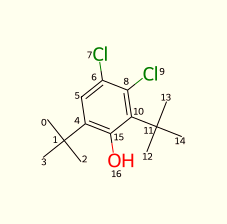 CC(C)(C)c1cc(Cl)c(Cl)c(C(C)(C)C)c1O